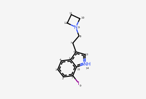 Ic1cccc2c(CCN3CCC3)c[nH]c12